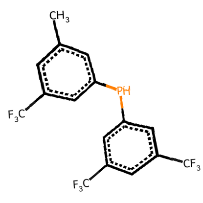 Cc1cc(Pc2cc(C(F)(F)F)cc(C(F)(F)F)c2)cc(C(F)(F)F)c1